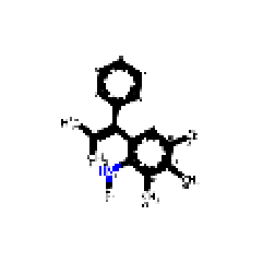 CCNc1c(C(=C(C)C)c2ccccc2)cc(CC)c(C)c1C